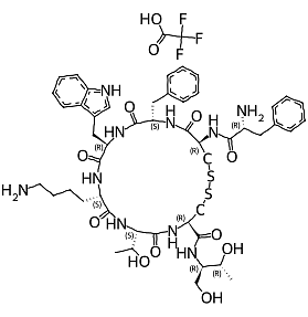 CC(O)[C@@H]1NC(=O)[C@H](CCCCN)NC(=O)[C@@H](Cc2c[nH]c3ccccc23)NC(=O)[C@H](Cc2ccccc2)NC(=O)[C@@H](NC(=O)[C@H](N)Cc2ccccc2)CSSC[C@@H](C(=O)N[C@H](CO)[C@@H](C)O)NC1=O.O=C(O)C(F)(F)F